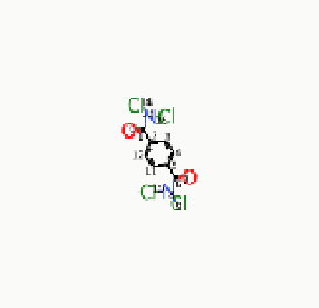 O=C(c1ccc(C(=O)N(Cl)Cl)cc1)N(Cl)Cl